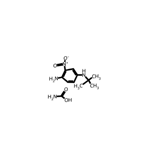 CC(C)(C)Nc1ccc(N)c([N+](=O)[O-])c1.NC(=O)O